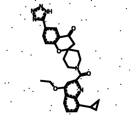 CCOc1cc(C(=O)N2CCC3(CC2)CC(=O)c2cc(-c4nnn[nH]4)ccc2O3)nc2c(C3CC3)cccc12